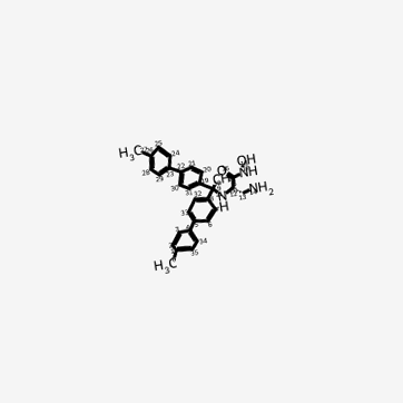 Cc1ccc(-c2ccc(C(C)(N[C@@H](CN)C(=O)NO)c3ccc(-c4ccc(C)cc4)cc3)cc2)cc1